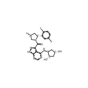 O=C(c1n[nH]c2ncnc(N[C@H]3C[C@H](O)C[C@@H]3O)c12)N1C[C@@H](F)C[C@@H]1c1cc(F)ccc1F